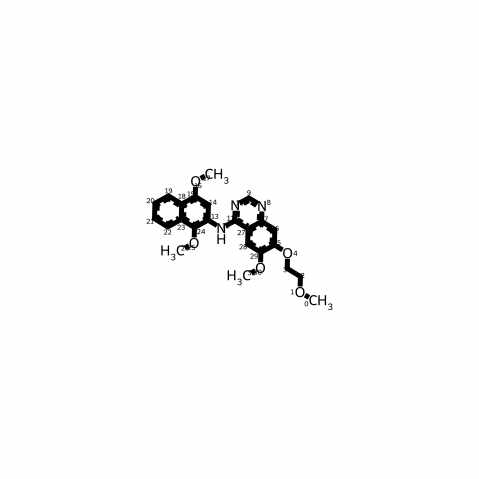 COCCOc1cc2ncnc(Nc3cc(OC)c4ccccc4c3OC)c2cc1OC